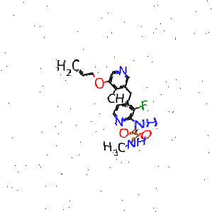 C=CCOc1cncc(Cc2ccnc(NS(=O)(=O)NC)c2F)c1C